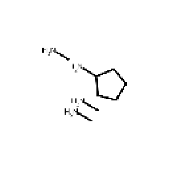 CN.CN.CN.NC1C[CH]CC1